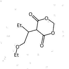 CCOCC(CC)C1C(=O)OCOC1=O